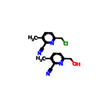 Cc1ccc(CCl)nc1C#N.Cc1ccc(CO)nc1C#N